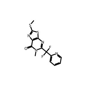 CSc1nc2c(=O)n(C)c(C(F)(F)c3ccccn3)nc2s1